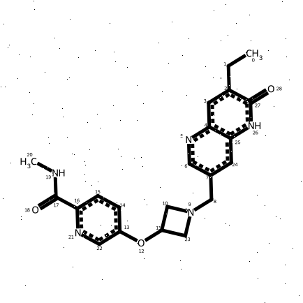 CCc1cc2ncc(CN3CC(Oc4ccc(C(=O)NC)nc4)C3)cc2[nH]c1=O